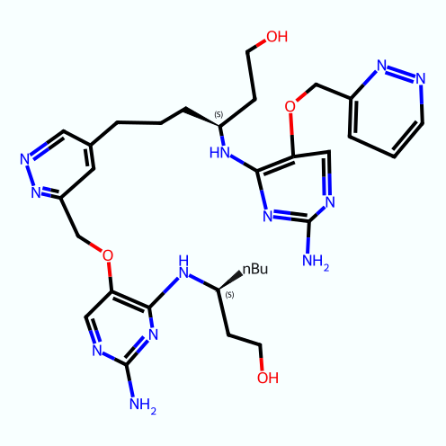 CCCC[C@@H](CCO)Nc1nc(N)ncc1OCc1cc(CCC[C@@H](CCO)Nc2nc(N)ncc2OCc2cccnn2)cnn1